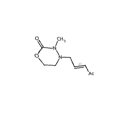 CC(=O)/C=C/CN1CCOC(=O)N1C